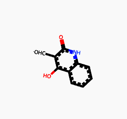 O=[C]c1c(O)c2ccccc2[nH]c1=O